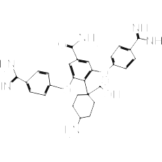 N=C(N)c1ccc(Oc2cc(C(N)=O)cc(Oc3ccc(C(=N)N)cc3)c2C2(C(=O)O)CCC(N)CC2)cc1